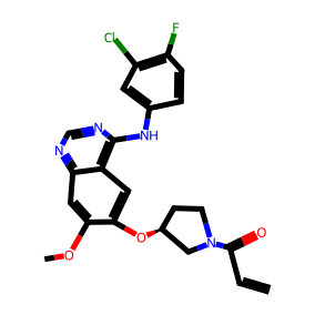 C=CC(=O)N1CC[C@H](Oc2cc3c(Nc4ccc(F)c(Cl)c4)ncnc3cc2OC)C1